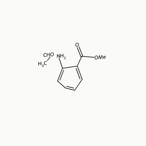 CC=O.COC(=O)c1ccccc1N